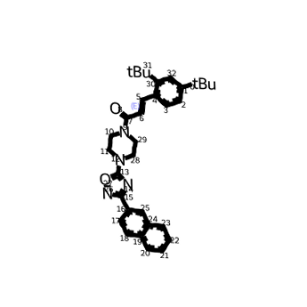 CC(C)(C)c1ccc(/C=C/C(=O)N2CCN(c3nc(-c4ccc5ccccc5c4)no3)CC2)c(C(C)(C)C)c1